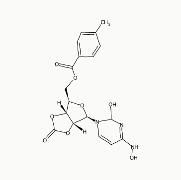 Cc1ccc(C(=O)OC[C@H]2O[C@@H](N3C=CC(NO)=NC3O)[C@@H]3OC(=O)O[C@@H]32)cc1